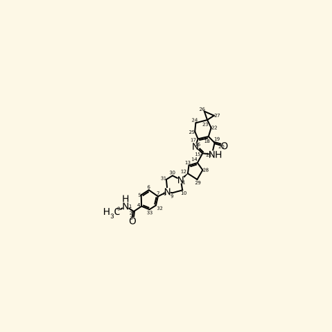 CNC(=O)c1ccc(N2CCN([C@H]3C=C(c4nc5c(c(=O)[nH]4)CC4(CC5)CC4)CC3)CC2)cc1